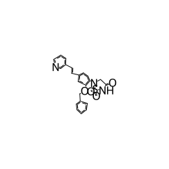 O=C1CN(c2ccc(/C=C/c3cccnc3)cc2OCc2ccccc2)S(=O)(=O)N1